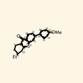 CCC1CCc2c(sc3cc(-c4ccc(OC)cc4)ccc3c2=O)C1